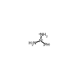 NN(N)[PH]